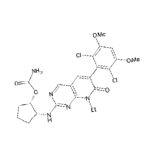 CCn1c(=O)c(-c2c(Cl)c(OC)cc(OC)c2Cl)cc2cnc(N[C@@H]3CCC[C@@H]3OC(N)=O)nc21